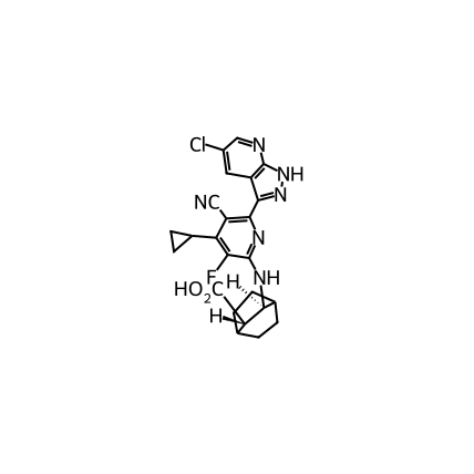 N#Cc1c(-c2n[nH]c3ncc(Cl)cc23)nc(N[C@H]2C3CCC(CC3)[C@@H]2C(=O)O)c(F)c1C1CC1